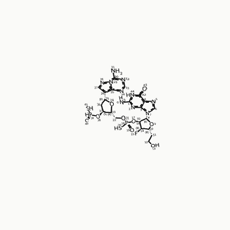 Nc1nc2c(ncn2[C@@H]2O[C@H](CCO)[C@@H](F)[C@H]2OP(=O)(S)OC[C@H]2O[C@@H](c3cnn4c(N)ncnc34)C[C@@H]2O[PH](=O)S)c(=O)[nH]1